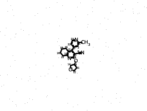 Cc1cc(-c2c(C#N)c(O[C@H]3CCOC3)nc3c2CCCC3)ccn1